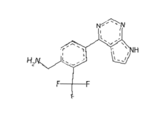 NCc1ccc(-c2ncnc3[nH]ccc23)cc1C(F)(F)F